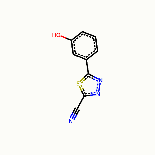 N#Cc1nnc(-c2cccc(O)c2)s1